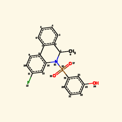 CC1c2ccccc2-c2ccc(F)cc2N1S(=O)(=O)c1cccc(O)c1